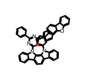 c1ccc(-c2nc(-c3ccccc3)nc(-n3c4ccccc4c4ccc5c6ccccc6n(-c6cccc(-c7ccc8c(c7)oc7ccccc78)c6)c5c43)n2)cc1